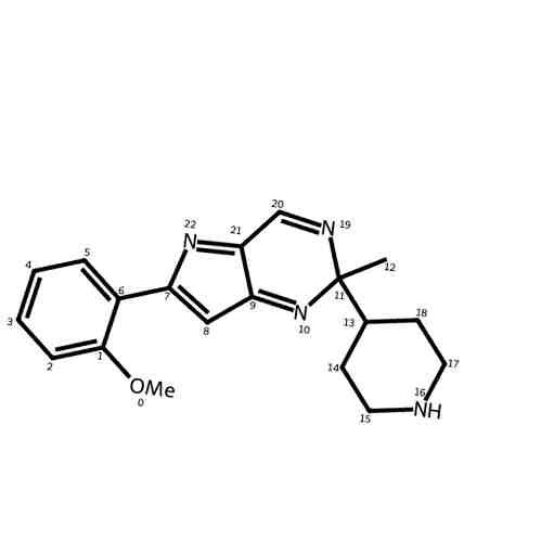 COc1ccccc1C1=CC2=NC(C)(C3CCNCC3)N=CC2=N1